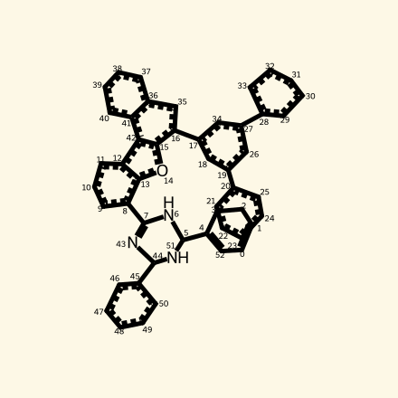 C1=CCCC(C2NC(c3cccc4c3oc3c(-c5cc(-c6ccccc6)cc(-c6ccccc6)c5)cc5ccccc5c34)=NC(c3ccccc3)N2)=C1